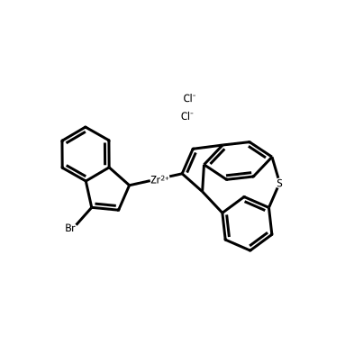 BrC1=C[CH]([Zr+2][C]2=Cc3cc4ccc3C2c2cccc(c2)S4)c2ccccc21.[Cl-].[Cl-]